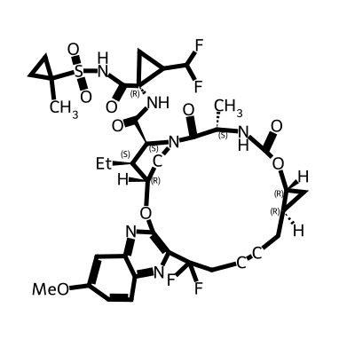 CC[C@@H]1[C@@H]2CN(C(=O)[C@H](C)NC(=O)O[C@@H]3C[C@H]3CCCCC(F)(F)c3nc4ccc(OC)cc4nc3O2)[C@@H]1C(=O)N[C@]1(C(=O)NS(=O)(=O)C2(C)CC2)CC1C(F)F